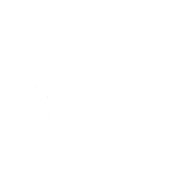 O=C(Cl)c1ccc2c(c1)Cc1ccccc1-2